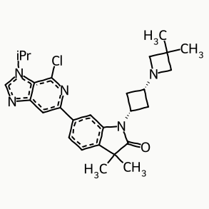 CC(C)n1cnc2cc(-c3ccc4c(c3)N([C@H]3C[C@@H](N5CC(C)(C)C5)C3)C(=O)C4(C)C)nc(Cl)c21